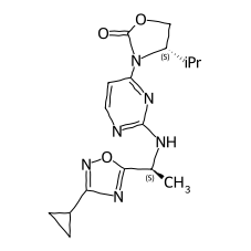 CC(C)[C@H]1COC(=O)N1c1ccnc(N[C@@H](C)c2nc(C3CC3)no2)n1